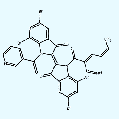 C/C=C\C=C(/C=N)C(=O)N1/C(=C2\C(=O)c3cc(Br)cc(Br)c3N2C(=O)c2cccnc2)C(=O)c2cc(Br)cc(Br)c21